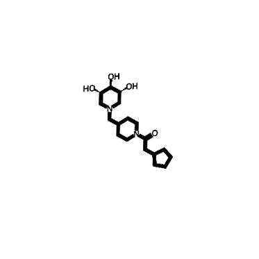 O=C(CC1CCCC1)N1CCC(CN2C[C@@H](O)[C@H](O)[C@@H](O)C2)CC1